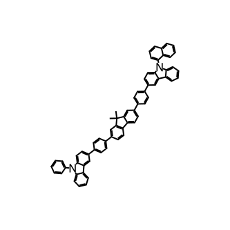 CC1(C)c2cc(-c3ccc(-c4ccc5c(c4)c4ccccc4n5-c4ccccc4)cc3)ccc2-c2ccc(-c3ccc(-c4ccc5c(c4)c4ccccc4n5-c4cccc5ccccc45)cc3)cc21